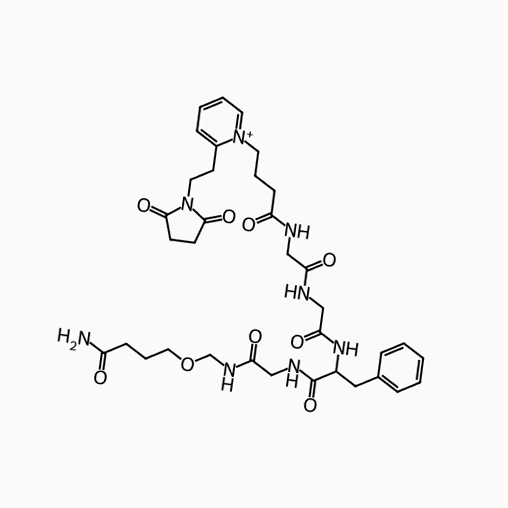 NC(=O)CCCOCNC(=O)CNC(=O)C(Cc1ccccc1)NC(=O)CNC(=O)CNC(=O)CCC[n+]1ccccc1CCN1C(=O)CCC1=O